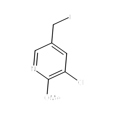 COc1ncc(CI)cc1Cl